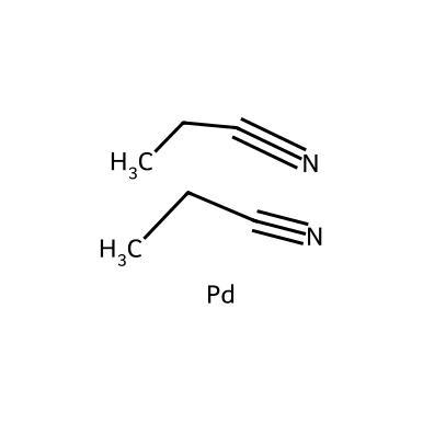 CCC#N.CCC#N.[Pd]